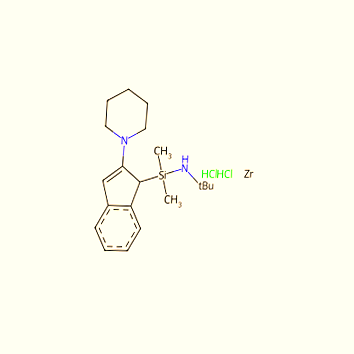 CC(C)(C)N[Si](C)(C)C1C(N2CCCCC2)=Cc2ccccc21.Cl.Cl.[Zr]